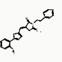 C=C1C/C(=C\C2=CC=C(c3ccccc3N=O)C2)C(=O)N1CCc1ccccc1